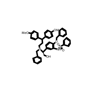 COc1ccc(C(CCN(Cc2ccccc2)[C@H](CO)c2ccc(OCc3ccccc3)c(NS(=O)(=O)c3ccccc3)c2)c2ccc(OC)cc2)cc1